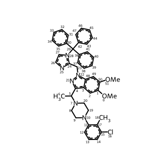 COc1cc2c(C(C)N3CCN(c4cccc(Cl)c4C)CC3)nn(Cc3nccn3C(c3ccccc3)(c3ccccc3)c3ccccc3)c2cc1OC